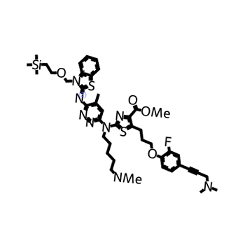 CNCCCCCN(c1cc(C)c(/N=c2\sc3ccccc3n2COCC[Si](C)(C)C)nn1)c1nc(C(=O)OC)c(CCCOc2ccc(C#CCN(C)C)cc2F)s1